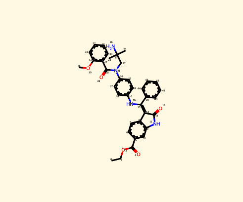 CCOC(=O)c1ccc2c(c1)NC(=O)C2=C(Nc1ccc(N(CC(C)(C)N)C(=O)c2ccccc2OC)cc1)c1ccccc1